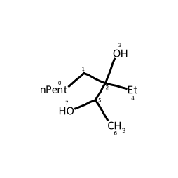 CCCCCCC(O)(CC)C(C)O